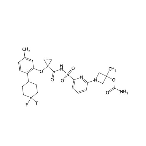 Cc1ccc(C2CCC(F)(F)CC2)c(OC2(C(=O)NS(=O)(=O)c3cccc(N4CC(C)(OC(N)=O)C4)n3)CC2)c1